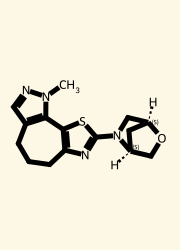 Cn1ncc2c1-c1sc(N3C[C@@H]4C[C@H]3CO4)nc1CCC2